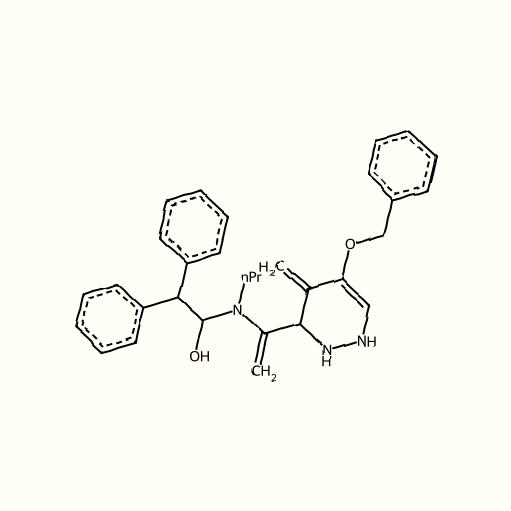 C=C1C(OCc2ccccc2)=CNNC1C(=C)N(CCC)C(O)C(c1ccccc1)c1ccccc1